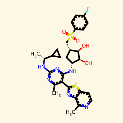 Cc1nc(N[C@H](C)C2CC2)nc(N[C@@H]2C[C@H](CS(=O)(=O)c3ccc(F)cc3)[C@@H](O)[C@H]2O)c1-c1nc2c(C)nccc2s1